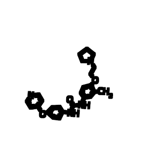 Cc1cc(NC(=O)Nc2ccc(Oc3ccncc3)cc2)ccc1OCCN1CCCC1